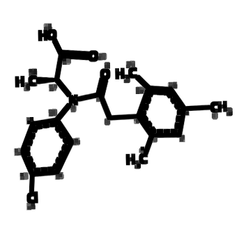 Cc1cc(C)c(CC(=O)N(c2ccc(Cl)cc2)[C@@H](C)C(=O)O)c(C)c1